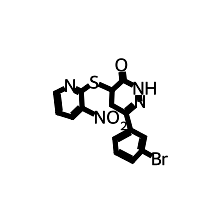 O=C1NN=C(c2cccc(Br)c2)CC1Sc1ncccc1[N+](=O)[O-]